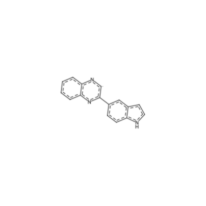 [c]1nc2ccccc2nc1-c1ccc2[nH]ccc2c1